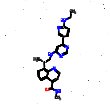 CCNc1ccc(-c2cc(NC[C@@H](C)c3cccc4c(C(=O)NC)ccnc34)ncn2)cn1